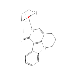 O=c1c2c3ccccc3n3c2c(cn1[C@H]1CN2CCC1CC2)CCC3